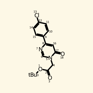 CC(C)(C)OC(=O)Cn1cnc(-c2ccc(Cl)cc2)cc1=O